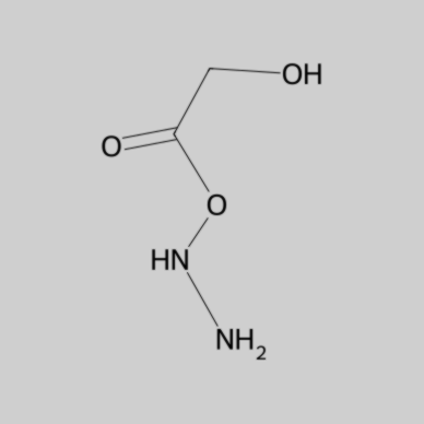 NNOC(=O)CO